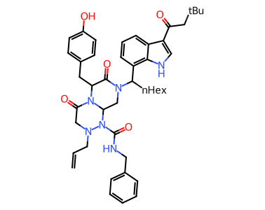 C=CCN1CC(=O)N2C(Cc3ccc(O)cc3)C(=O)N(C(CCCCCC)c3cccc4c(C(=O)CC(C)(C)C)c[nH]c34)CC2N1C(=O)NCc1ccccc1